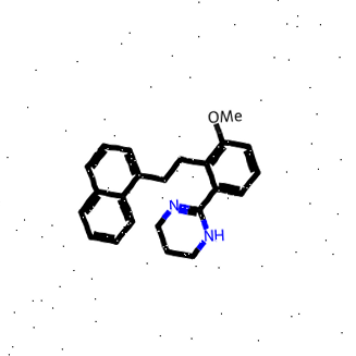 COc1cccc(C2=NCCCN2)c1CCc1cccc2ccccc12